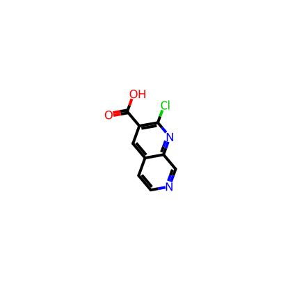 O=C(O)c1cc2ccncc2nc1Cl